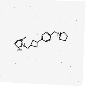 C[C@@H]1C=C[C@@H](C)N1CC1CC(c2ccc(CN3CCCC3)cc2)C1